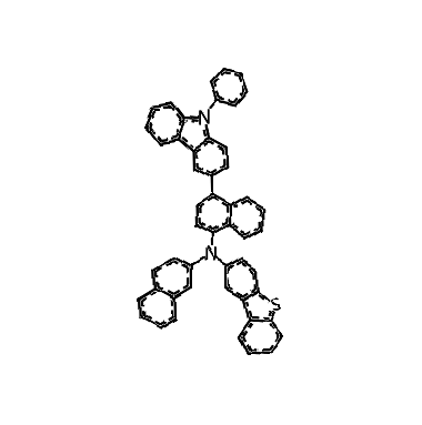 c1ccc(-n2c3ccccc3c3cc(-c4ccc(N(c5ccc6ccccc6c5)c5ccc6sc7ccccc7c6c5)c5ccccc45)ccc32)cc1